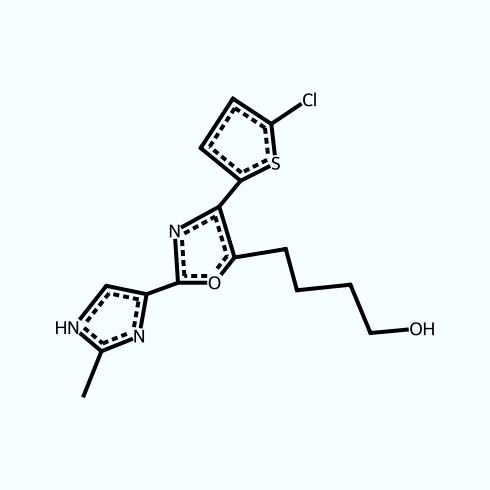 Cc1nc(-c2nc(-c3ccc(Cl)s3)c(CCCCO)o2)c[nH]1